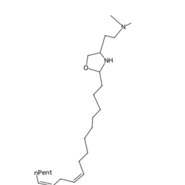 CCCCC/C=C\C/C=C\CCCCCCCCC1NC(CCN(C)C)CO1